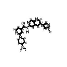 CN(C)C1CCN(c2cc(C(=O)Nc3cc4cc(-c5cnn(C)c5)cnc4cn3)ccn2)CC1